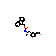 O=C(N[C@H](Cc1ccc(O)c([N+](=O)[O-])c1)C(=O)O)OCC1c2ccccc2-c2ccccc21